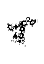 CC(C)n1cnc2cc(-c3ccc4c(c3)N([C@H]3C[C@@H](N5CCCCC5)C3)C(=O)C43CCN(C(=O)[C@H]4CCCNC4)CC3)nc(NC3CC3)c21